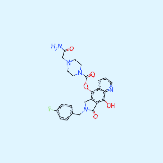 NC(=O)CN1CCN(C(=O)Oc2c3c(c(O)c4ncccc24)C(=O)N(Cc2ccc(F)cc2)C3)CC1